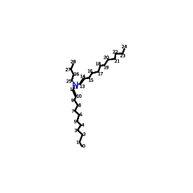 CCCCCCCCCCC=CN(C=CCCCCCCCCCC)CCCC